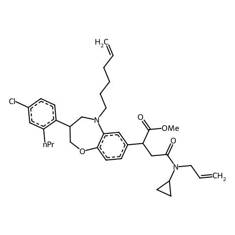 C=CCCCCN1CC(c2ccc(Cl)cc2CCC)COc2ccc(C(CC(=O)N(CC=C)C3CC3)C(=O)OC)cc21